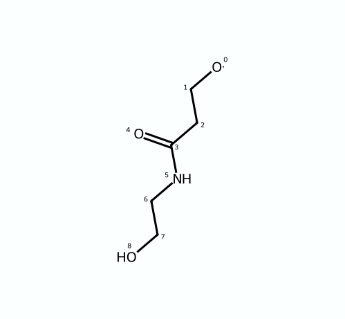 [O]CCC(=O)NCCO